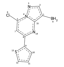 Bc1cnn2c(Cl)cc(-c3cccs3)nc12